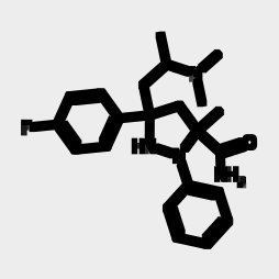 CC(CC1(c2ccc(F)cc2)CC(C)(C(N)=O)N(c2ccccc2)N1)N(C)C